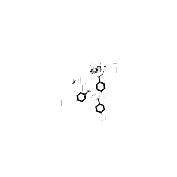 CCO.Cc1ccc(C(=O)Oc2ccc(C(CNC(C)(C)C)OS(C)(=O)=O)cc2OC(=O)c2ccc(C)cc2)cc1